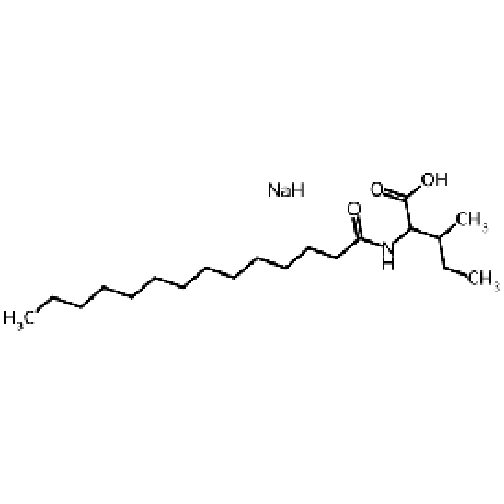 CCCCCCCCCCCCCC(=O)NC(C(=O)O)C(C)CC.[NaH]